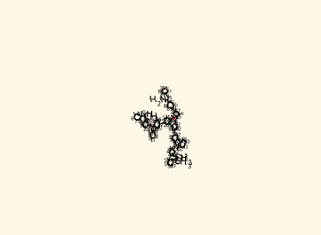 CC1(C)c2ccccc2-c2ccc(-n3c4ccccc4c4cc(-c5ccc6c(c5)c5cc(-c7ccc8c(c7)c7ccccc7n8-c7ccc8c(c7)C(C)(C)c7ccccc7-8)ccc5n6-c5cccc(-c6ccc(C(N)Cc7ccccc7)cc6)c5)ccc43)cc21